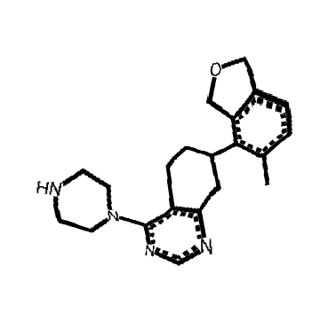 Cc1ccc2c(c1C1CCc3c(ncnc3N3CCNCC3)C1)COC2